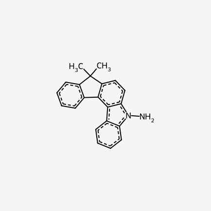 CC1(C)c2ccccc2-c2c1ccc1c2c2ccccc2n1N